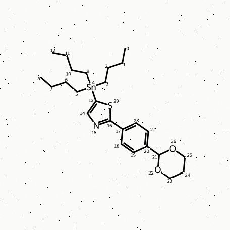 CCC[CH2][Sn]([CH2]CCC)([CH2]CCC)[c]1cnc(-c2ccc(C3OCCCO3)cc2)s1